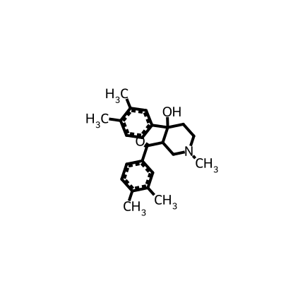 Cc1ccc(C(=O)C2CN(C)CCC2(O)c2ccc(C)c(C)c2)cc1C